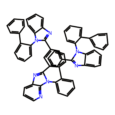 c1ccc(-c2ccccc2-n2c(-c3cc(-c4nc5ccccc5n4-c4ccccc4-c4ccccc4)cc(-c4nc5cccnc5n4-c4ccccc4-c4ccccc4)c3)nc3ccccc32)cc1